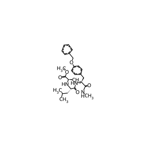 CNC(=O)[C@H](Cc1ccc(OCc2ccccc2)cc1)NC(=O)[C@H](CC(C)C)N[C@H](C)C(=O)OC